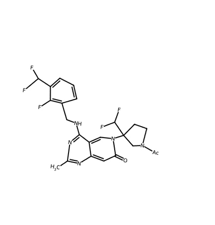 CC(=O)N1CCC(C(F)F)(n2cc3c(NCc4cccc(C(F)F)c4F)nc(C)nc3cc2=O)C1